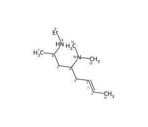 C/C=C/CC(CC(C)NCC)N(C)C